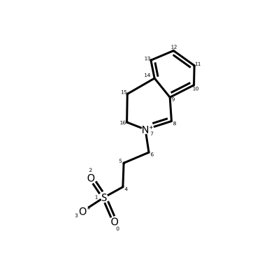 O=S(=O)([O-])CCC[N+]1=Cc2ccccc2CC1